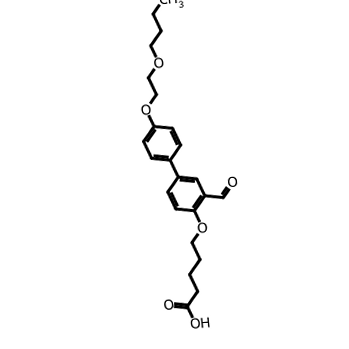 CCCCOCCOc1ccc(-c2ccc(OCCCCC(=O)O)c(C=O)c2)cc1